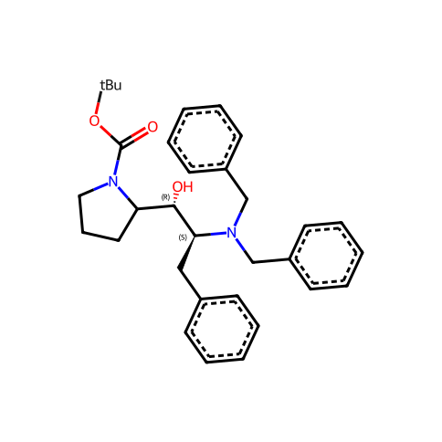 CC(C)(C)OC(=O)N1CCCC1[C@H](O)[C@H](Cc1ccccc1)N(Cc1ccccc1)Cc1ccccc1